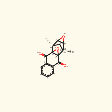 O=C1c2ccccc2C(=O)C23OC12[C@@H]1C[C@H]3C2OC21